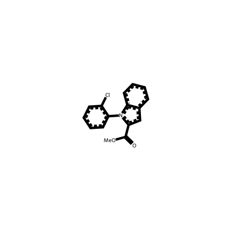 COC(=O)c1cc2ccccc2n1-c1ccccc1Cl